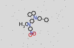 CN(c1ccc(N(c2ccc(-c3ccccc3)cc2)c2cccc3ccccc23)cc1)c1ccc([N+](=O)[O-])cc1